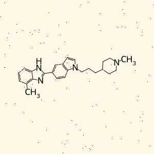 Cc1cccc2[nH]c(-c3ccc4c(ccn4CCCC4CCN(C)CC4)c3)nc12